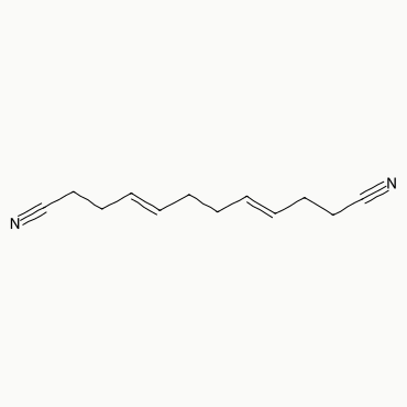 N#CCCC=CCCC=CCCC#N